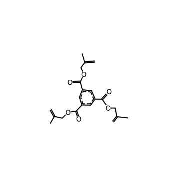 C=C(C)COC(=O)c1cc(C(=O)OCC(=C)C)cc(C(=O)OCC(=C)C)c1